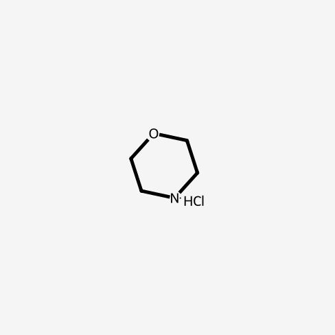 C1COCC[N]1.Cl